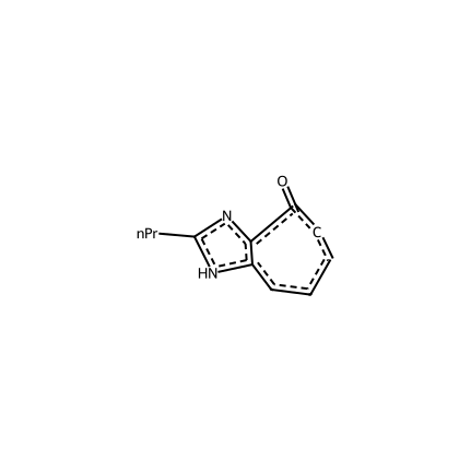 CCCc1nc2c(=O)ccccc2[nH]1